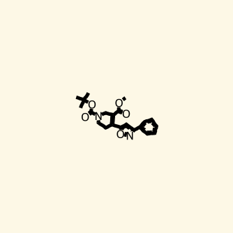 COC(=O)C1=C(c2cc(-c3ccccc3)no2)CCN(C(=O)OC(C)(C)C)C1